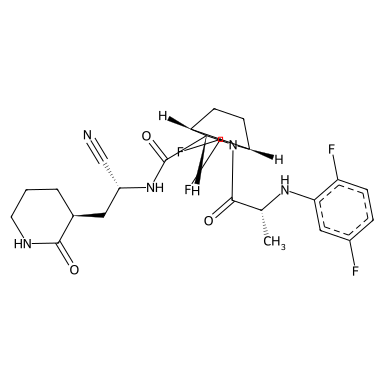 C[C@@H](Nc1cc(F)ccc1F)C(=O)N1[C@H]2CC[C@@H]([C@H]1C(=O)N[C@@H](C#N)C[C@@H]1CCCNC1=O)C(F)(F)C2